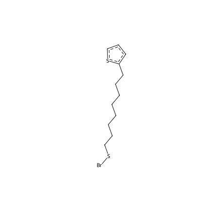 BrSCCCCCCCCc1cccs1